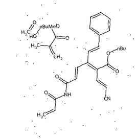 C=C(C)C(=O)OC.C=CC(=O)NC(=O)C=CC(C=Cc1ccccc1)=C(C=CC#N)C(=O)OCCCC.C=O.CCCCO